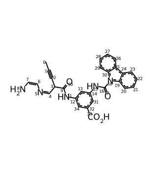 CC#CC(/C=N\C=C/N)C(=O)Nc1cc(NC(=O)n2c3ccccc3c3ccccc32)cc(C(=O)O)c1